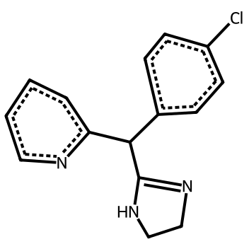 Clc1ccc(C(C2=NCCN2)c2ccccn2)cc1